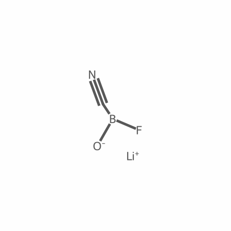 N#CB([O-])F.[Li+]